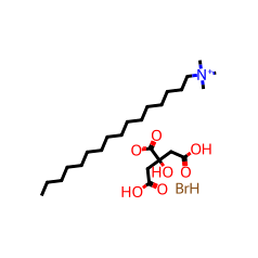 Br.CCCCCCCCCCCCCCCC[N+](C)(C)C.O=C(O)CC(O)(CC(=O)O)C(=O)[O-]